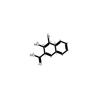 O=C(O)c1cc2ccccc2c(Br)c1O